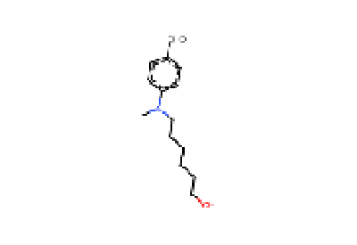 CN(CCCCCCO)c1ccc(C=O)cc1